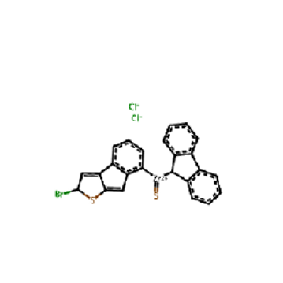 [Cl-].[Cl-].[S]=[Zr+2]([c]1cccc2c1C=C1SC(Br)C=C12)[CH]1c2ccccc2-c2ccccc21